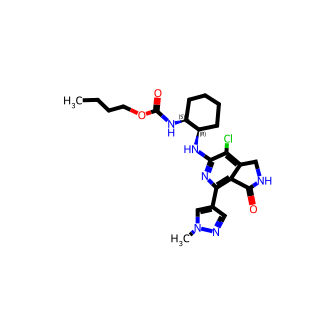 CCCCOC(=O)N[C@H]1CCCC[C@H]1Nc1nc(-c2cnn(C)c2)c2c(c1Cl)CNC2=O